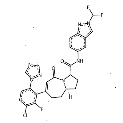 O=C(Nc1ccc2nn(C(F)F)cc2c1)[C@@H]1CC[C@H]2CCC(c3c(-n4cnnn4)ccc(Cl)c3F)=CC(=O)N21